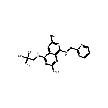 CNc1nc(NCC(C)(C)O)c2nc(NC)nc(NCc3ncccn3)c2n1